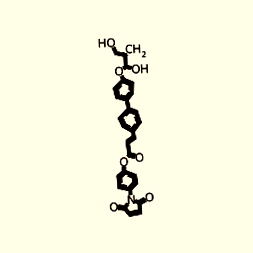 C=C(CO)C(O)Oc1ccc(-c2ccc(/C=C/C(=O)Oc3ccc(N4C(=O)C=CC4=O)cc3)cc2)cc1